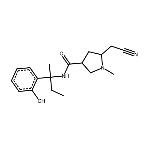 CCC(C)(NC(=O)C1CC(CC#N)N(C)C1)c1ccccc1O